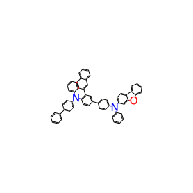 c1ccc(-c2ccc(N(c3ccccc3)c3ccc(-c4ccc(N(c5ccccc5)c5ccc6c(c5)oc5ccccc56)cc4)cc3-c3ccc4ccccc4c3)cc2)cc1